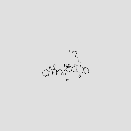 COCCCCOc1ccccc1C(=O)NCC(CC(N)C(O)CNC(=O)C(F)(F)c1ccccc1)C(C)C.Cl